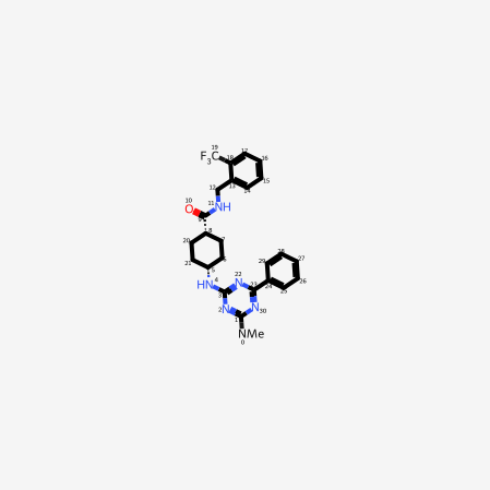 CNc1nc(N[C@H]2CC[C@@H](C(=O)NCc3ccccc3C(F)(F)F)CC2)nc(-c2ccccc2)n1